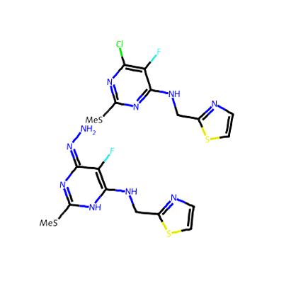 CSc1nc(=NN)c(F)c(NCc2nccs2)[nH]1.CSc1nc(Cl)c(F)c(NCc2nccs2)n1